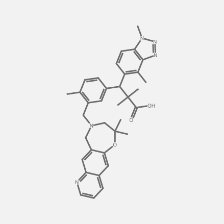 Cc1ccc(C(c2ccc3c(nnn3C)c2C)C(C)(C)C(=O)O)cc1CN1Cc2cc3ncccc3cc2OC(C)(C)C1